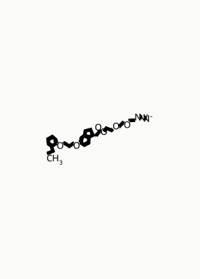 CCCc1ccccc1OCCCOc1ccc2c(c1)CC[C@H]2CC(=O)OCCOCCOCCN=[N+]=[N-]